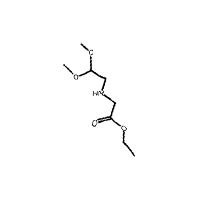 CCOC(=O)CNCC(OC)OC